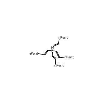 CCCCCC=C[PH](C=CCCCCC)(C=CCCCCC)C=CCCCCC